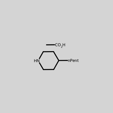 CC(=O)O.CCCCCC1CCNCC1